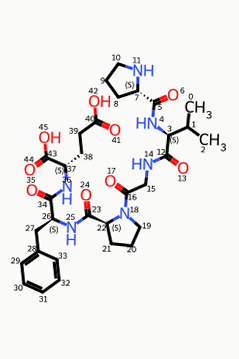 CC(C)[C@H](NC(=O)[C@@H]1CCCN1)C(=O)NCC(=O)N1CCC[C@H]1C(=O)N[C@@H](Cc1ccccc1)C(=O)N[C@@H](CCC(=O)O)C(=O)O